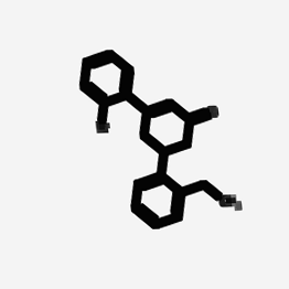 CCc1ccccc1C1CC(=O)C=C(c2ccccc2Br)C1